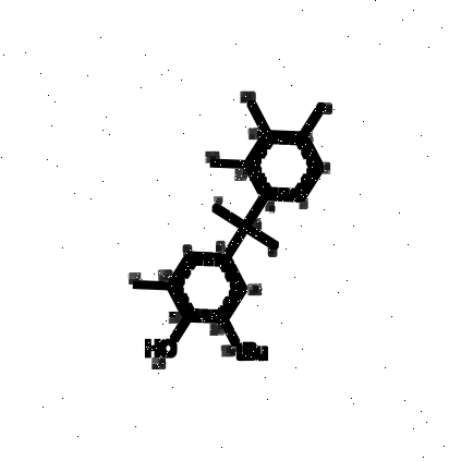 Cc1ccc(C(C)(C)c2cc(C)c(O)c(C(C)(C)C)c2)c(C)c1C